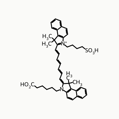 CC1(C)C(/C=C/C=C/C=C/C=C2/N(CCCCCC(=O)O)c3ccc4ccccc4c3C2(C)C)=[N+](CCCCS(=O)(=O)O)c2ccc3ccccc3c21